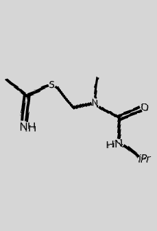 CC(=N)SCN(C)C(=O)NC(C)C